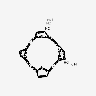 C1=Cc2cc3ccc(cc4nc(cc5ccc(cc1n2)[nH]5)C=C4)[nH]3.Cl.Cl.Cl.Cl.Cl